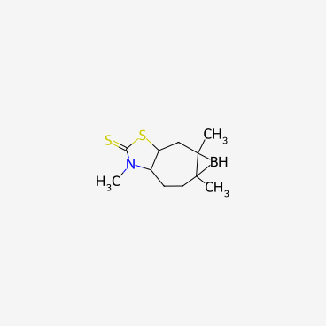 CN1C(=S)SC2CC3(C)BC3(C)CCC21